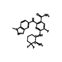 Cn1ncc2cc(Nc3nc(N[C@@H]4CCCC(F)(F)[C@@H]4N)c(F)cc3C(N)=O)ccc21